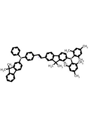 Cc1cc(C)c(B(c2ccc3c(c2)C(C)(C)c2cc(/C=C/c4ccc(N(c5ccccc5)c5ccc6c(c5)C(C)(C)c5ccccc5-6)cc4)ccc2-3)c2c(C)cc(C)cc2C)c(C)c1